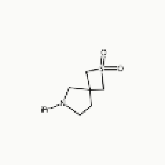 CC(C)N1CCC2(C1)CS(=O)(=O)C2